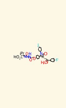 CC(C)[C@@H](NC(=O)CNC(=O)COc1ccc([C@@H]2[C@@H](CC[C@H](O)c3ccc(F)cc3)C(=O)N2c2ccc(F)cc2)cc1)C(=O)O